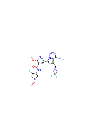 COc1ncc(-c2cc(CN3CC(F)(F)C3)c3c(N)ncnn23)cc1C(=O)NC1CN(C=O)CC1F